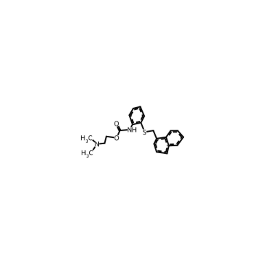 CN(C)CCOC(=O)Nc1ccccc1SCc1cccc2ccccc12